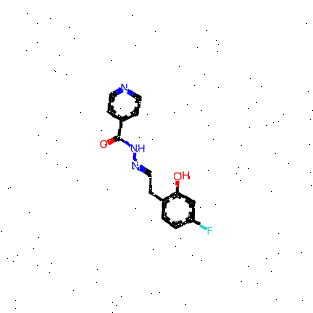 O=C(NN=CCc1ccc(F)cc1O)c1ccncc1